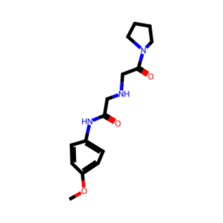 COc1ccc(NC(=O)CNCC(=O)N2CCCC2)cc1